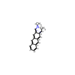 C=N/C=c1/cc2cc3ccccc3cc2c/c1=C/C